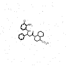 Nc1c(Cl)cccc1NC(CC(=O)N1CCC(C(=O)O)C2CCCCC21)c1ccccc1